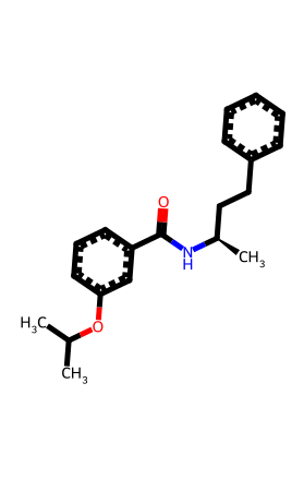 CC(C)Oc1cccc(C(=O)N[C@H](C)CCc2ccccc2)c1